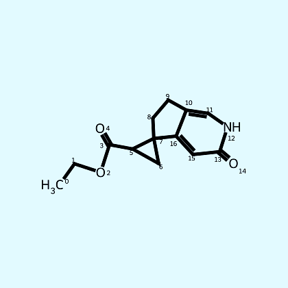 CCOC(=O)C1CC12CCc1c[nH]c(=O)cc12